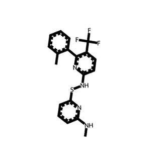 CNc1cccc(SNc2ccc(C(F)(F)F)c(-c3ccccc3C)n2)n1